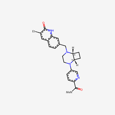 CCc1cc2ccc(CN3CCN(c4ccc(C(=O)NC)nc4)[C@H]4CC[C@H]43)cc2[nH]c1=O